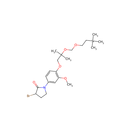 COc1cc(N2CCC(Br)C2=O)ccc1OCC(C)(C)OCOCC[Si](C)(C)C